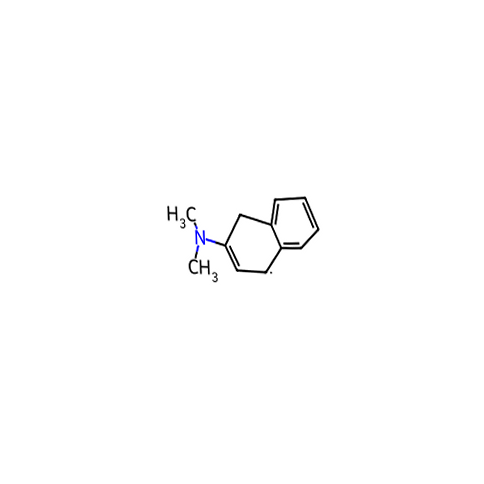 CN(C)C1=C[CH]c2ccccc2C1